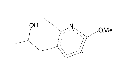 COc1[c]cc(CC(C)O)c(C)n1